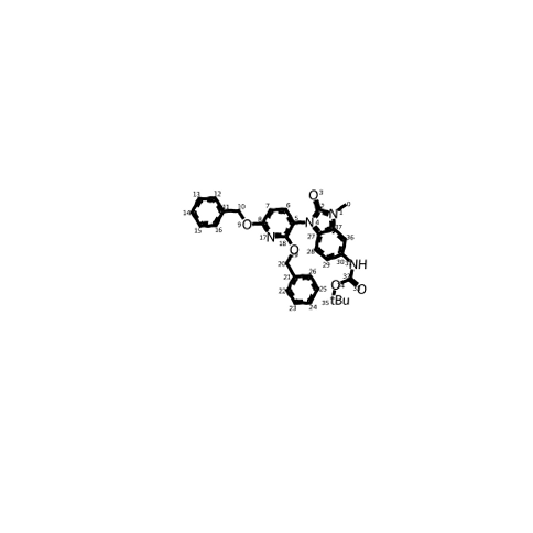 Cn1c(=O)n(-c2ccc(OCc3ccccc3)nc2OCc2ccccc2)c2ccc(NC(=O)OC(C)(C)C)cc21